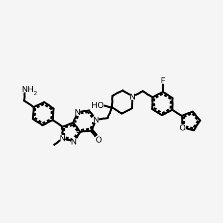 Cn1nc2c(=O)n(CC3(O)CCN(Cc4ccc(-c5ccco5)cc4F)CC3)cnc2c1-c1ccc(CN)cc1